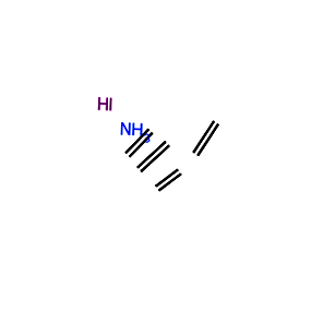 C=C.C=C.C=C.C=C.I.N